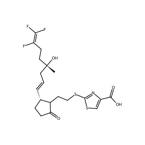 C[C@@](O)(C/C=C/[C@H]1CCC(=O)C1CCSc1nc(C(=O)O)cs1)CCC(F)=C(F)F